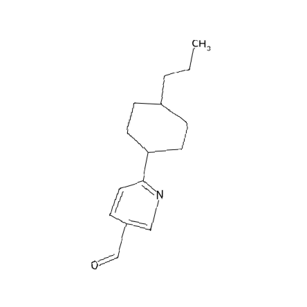 CCCC1CCC(c2ccc(C=O)cn2)CC1